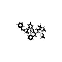 CC(=O)CNN(C(C)=O)C(C(=O)NC(Cc1ccccc1)C(O)CN(CC(C)C)S(=O)(=O)C1=COC(Cc2ccccc2)O1)C(C)(C)C